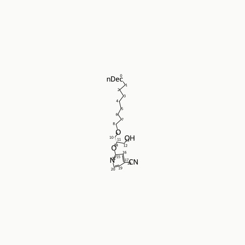 CCCCCCCCCCCCCCCCCCOC[C@H](CO)Oc1cc(C#N)ccn1